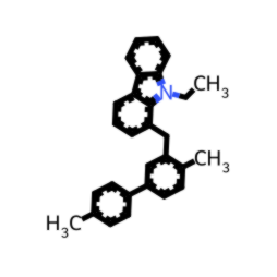 CCn1c2ccccc2c2cccc(Cc3cc(-c4ccc(C)cc4)ccc3C)c21